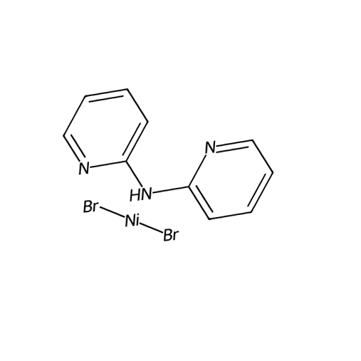 [Br][Ni][Br].c1ccc(Nc2ccccn2)nc1